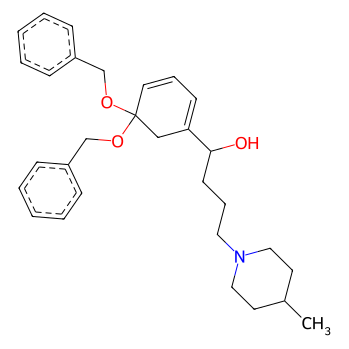 CC1CCN(CCCC(O)C2=CC=CC(OCc3ccccc3)(OCc3ccccc3)C2)CC1